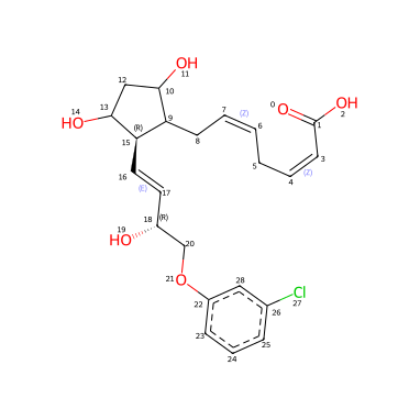 O=C(O)/C=C\C/C=C\CC1C(O)CC(O)[C@@H]1/C=C/[C@@H](O)COc1cccc(Cl)c1